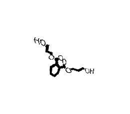 O=C(OCCCO)C1CCCCC1C(=O)OCCCO